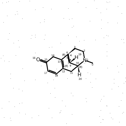 CN1CC[C@]23CCCC[C@H]2[C@H]1CC1=C3CC(=O)C=C1